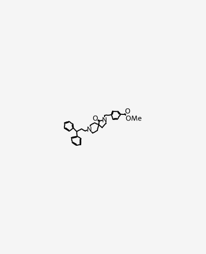 COC(=O)c1ccc(CN2CCC3(CCN(CCC(c4ccccc4)c4ccccc4)CC3)C2=O)cc1